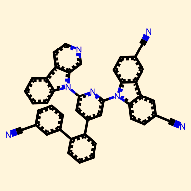 N#Cc1cccc(-c2ccccc2-c2cc(-n3c4ccc(C#N)cc4c4cc(C#N)ccc43)nc(-n3c4ccccc4c4ccncc43)c2)c1